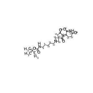 CC(C)(C)OC(=O)NCCCCCN1CC2(CC(=O)N(C3CCC(=O)NC3=O)C2=O)C1